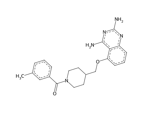 Cc1cccc(C(=O)N2CCC(COc3cccc4nc(N)nc(N)c34)CC2)c1